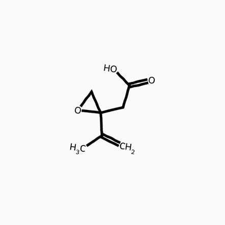 C=C(C)C1(CC(=O)O)CO1